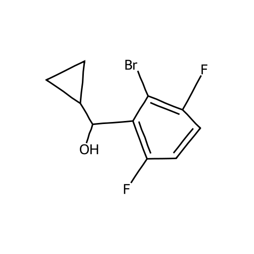 OC(c1c(F)ccc(F)c1Br)C1CC1